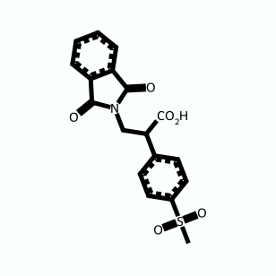 CS(=O)(=O)c1ccc(C(CN2C(=O)c3ccccc3C2=O)C(=O)O)cc1